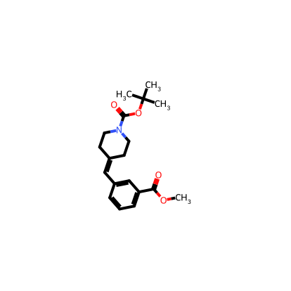 COC(=O)c1cccc(C=C2CCN(C(=O)OC(C)(C)C)CC2)c1